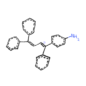 Nc1ccc(/C(=C/C=C(c2ccccc2)c2ccccc2)c2ccccc2)cc1